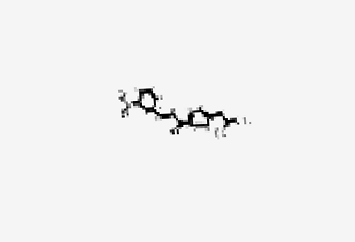 CC(C)Cc1ccc(C(=O)C=Cc2cccc([N+](=O)[O-])c2)cc1